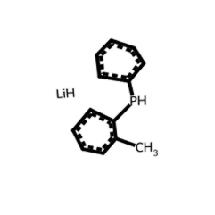 Cc1ccccc1Pc1ccccc1.[LiH]